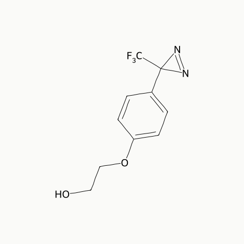 OCCOc1ccc(C2(C(F)(F)F)N=N2)cc1